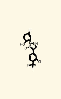 [O-][N+]1=C(c2ccc(C(F)(F)F)c(Cl)c2)CNN1c1cc(Cl)ccc1O